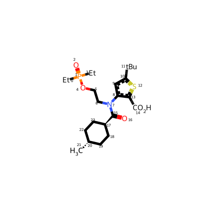 CCP(=O)(CC)OCCN(c1cc(C(C)(C)C)sc1C(=O)O)C(=O)[C@H]1CC[C@H](C)CC1